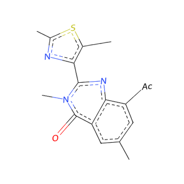 CC(=O)c1cc(C)cc2c(=O)n(C)c(-c3nc(C)sc3C)nc12